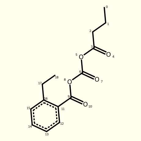 CCCC(=O)OC(=O)OC(=O)c1ccccc1CC